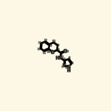 O=C(Nc1cc[nH]n1)C1CCc2ccccc2O1